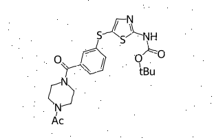 CC(=O)N1CCN(C(=O)c2cccc(Sc3cnc(NC(=O)OC(C)(C)C)s3)c2)CC1